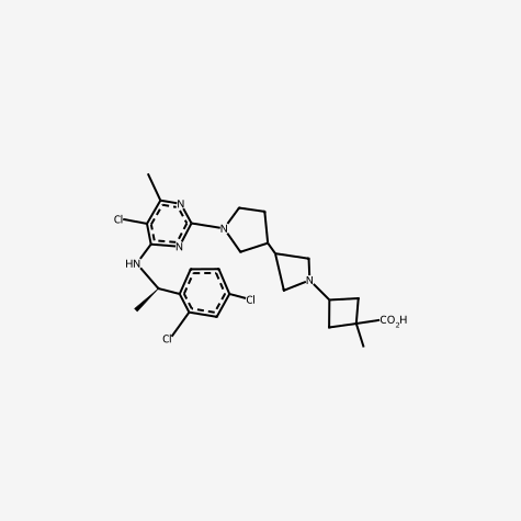 Cc1nc(N2CCC(C3CN(C4CC(C)(C(=O)O)C4)C3)C2)nc(N[C@H](C)c2ccc(Cl)cc2Cl)c1Cl